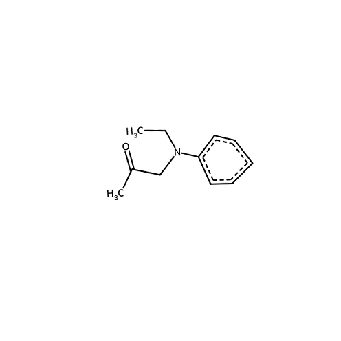 CCN(CC(C)=O)c1ccccc1